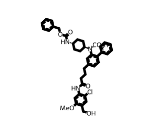 COc1cc(NC(=O)CCCc2ccc(-c3ccccc3)c(N(C(=O)O)[C@H]3CC[C@H](NC(=O)OCc4ccccc4)CC3)c2)c(Cl)cc1CO